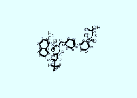 Cc1ccc2ccccc2c1S(=O)(=O)N(Cc1ccc(-c2cccc(S(=O)(=O)CC(=O)O)c2)cc1)Cc1cc(C(F)(F)F)co1